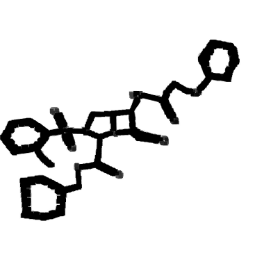 Cc1ccccc1S(=O)(=O)N1CC2[C@@H](NC(=O)COc3ccccc3)C(=O)N2C1C(=O)OCc1ccccc1